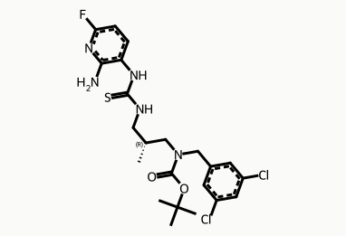 C[C@H](CNC(=S)Nc1ccc(F)nc1N)CN(Cc1cc(Cl)cc(Cl)c1)C(=O)OC(C)(C)C